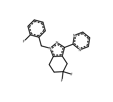 Fc1ccccc1Cn1nc(-c2ncccn2)c2c1CCC(F)(F)C2